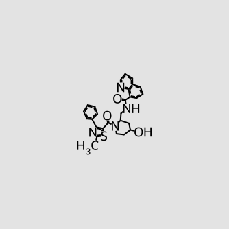 Cc1nc(-c2ccccc2)c(C(=O)N2CCC(O)CC2CNC(=O)c2cccc3cccnc23)s1